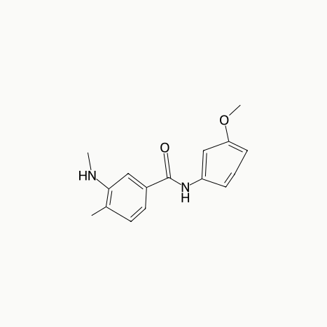 CNc1cc(C(=O)Nc2cccc(OC)c2)ccc1C